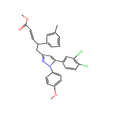 COC(=O)C=CC(Cc1cc(-c2ccc(Cl)c(Cl)c2)n(-c2ccc(OC)cc2)n1)c1cccc(C)c1